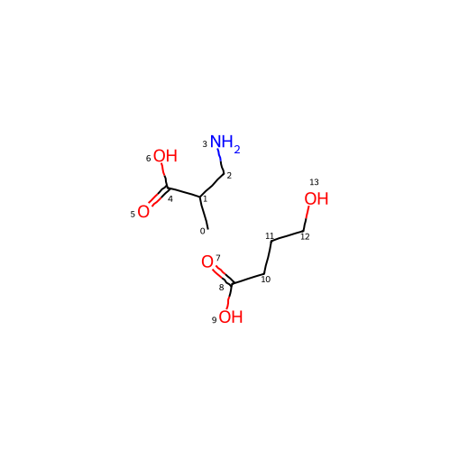 CC(CN)C(=O)O.O=C(O)CCCO